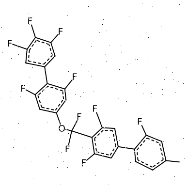 Cc1ccc(-c2cc(F)c(C(F)(F)Oc3cc(F)c(-c4cc(F)c(F)c(F)c4)c(F)c3)c(F)c2)c(F)c1